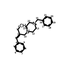 CCC(=Cc1ccccc1)CN1CCN(Cc2ccccc2)CC1